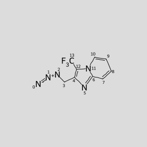 [N-]=[N+]=NCc1nc2ccccn2c1C(F)(F)F